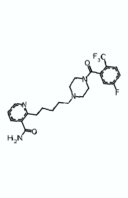 NC(=O)c1cccnc1CCCCCN1CCN(C(=O)c2cc(F)ccc2C(F)(F)F)CC1